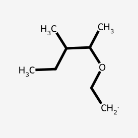 [CH2]COC(C)C(C)CC